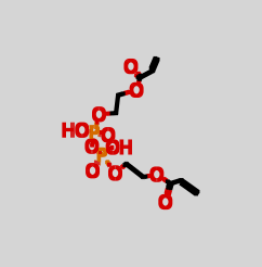 C=CC(=O)OCCOP(=O)(O)OP(=O)(O)OCCOC(=O)C=C